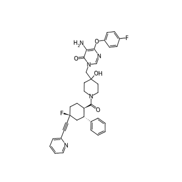 Nc1c(Oc2ccc(F)cc2)ncn(CC2(O)CCN(C(=O)[C@@H]3CC[C@@](F)(C#Cc4ccccn4)C[C@H]3c3ccccc3)CC2)c1=O